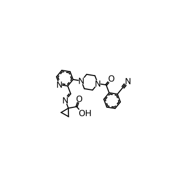 N#Cc1ccccc1C(=O)N1CCN(c2cccnc2C=NC2(C(=O)O)CC2)CC1